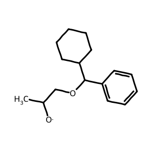 CC([O])COC(c1ccccc1)C1CCCCC1